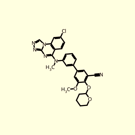 COc1cc(-c2cccc(N(C)c3nc4nncn4c4cc(Cl)ccc34)c2)cc(C#N)c1OC1CCCCO1